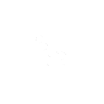 Cc1cccc(C)c1NC(=O)CN1CCNCC1C1c2c(C)csc2N=CN1C